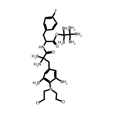 Bc1cc(CC(B)(N)C(=O)NC(Cc2ccc(F)cc2)C(=O)OC(B)(B)C(B)(B)B)cc(B)c1N(CCCl)CCCl